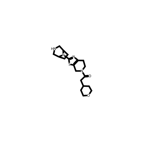 O=C(CC1CCOCC1)N1CCc2nc(N3C4CCC3CNC4)sc2C1